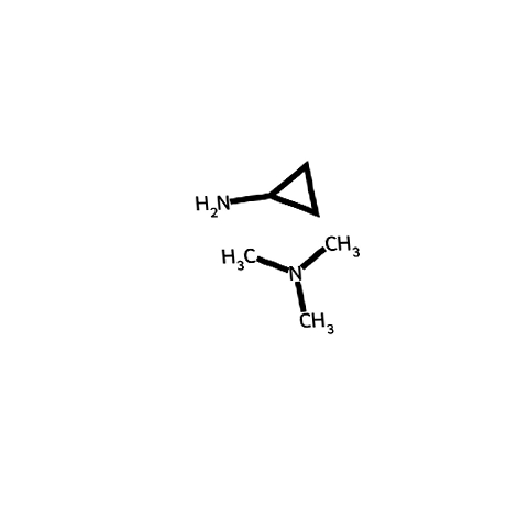 CN(C)C.NC1CC1